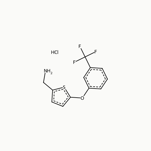 Cl.NCc1ccc(Oc2cccc(C(F)(F)F)c2)s1